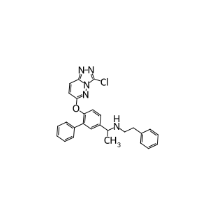 CC(NCCc1ccccc1)c1ccc(Oc2ccc3nnc(Cl)n3n2)c(-c2ccccc2)c1